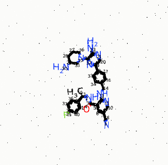 C[C@H](NC(=O)c1cc(C#N)cnc1NCc1ccc(-c2cnc(N)c(N3CCC[C@H](N)C3)n2)cc1)c1ccc(F)cc1